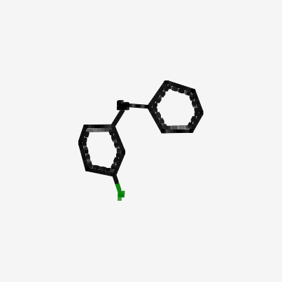 Fc1cccc([Se]c2ccccc2)c1